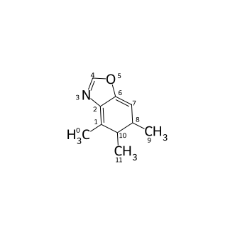 CC1=c2ncoc2=CC(C)C1C